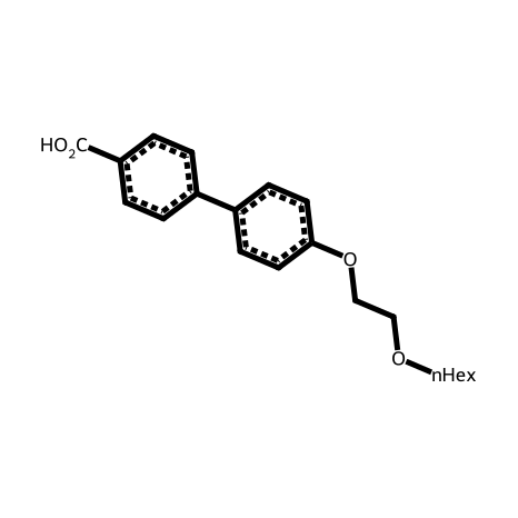 CCCCCCOCCOc1ccc(-c2ccc(C(=O)O)cc2)cc1